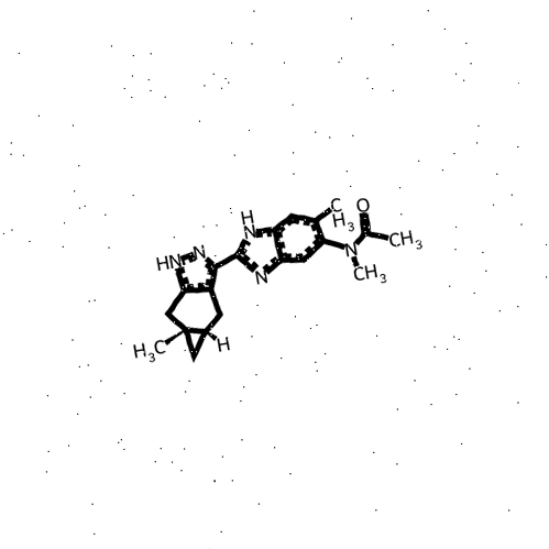 CC(=O)N(C)c1cc2nc(-c3n[nH]c4c3C[C@@H]3C[C@]3(C)C4)[nH]c2cc1C